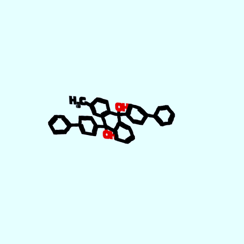 Cc1ccc2c(c1)C(O)(c1ccc(-c3ccccc3)cc1)c1ccccc1C2(O)c1ccc(-c2ccccc2)cc1